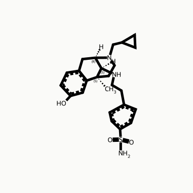 C[C@]12CCN(CC3CC3)[C@H](Cc3ccc(O)cc31)[C@H]2NCCc1ccc(S(N)(=O)=O)cc1